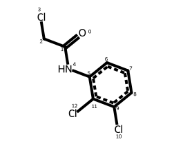 O=C(CCl)Nc1cccc(Cl)c1Cl